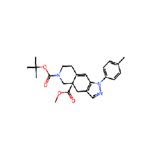 COC(=O)[C@]12Cc3cnn(-c4ccc(C)cc4)c3C=C1CCN(C(=O)OC(C)(C)C)C2